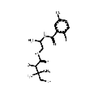 CC(CNC(=O)C(O)C(C)(C)CO)NC(=O)c1cc(C#N)ccc1F